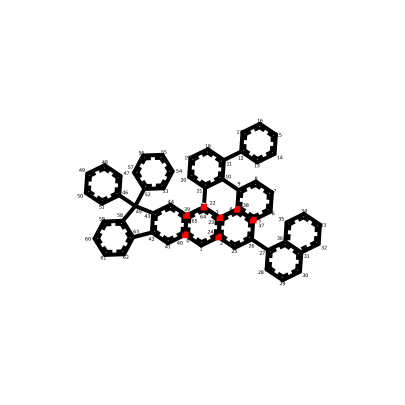 c1ccc(-c2ccccc2-c2c(-c3ccccc3)cccc2N(c2ccc(-c3cccc4ccccc34)cc2)c2ccc3c(c2)C(c2ccccc2)(c2ccccc2)c2ccccc2-3)cc1